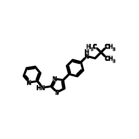 CC(C)(C)CNc1ccc(-c2csc(Nc3ccccn3)n2)cc1